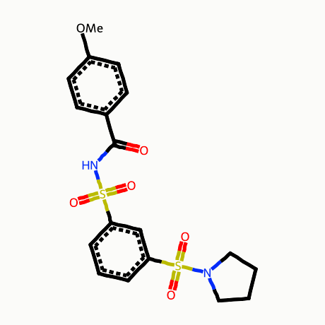 COc1ccc(C(=O)NS(=O)(=O)c2cccc(S(=O)(=O)N3CCCC3)c2)cc1